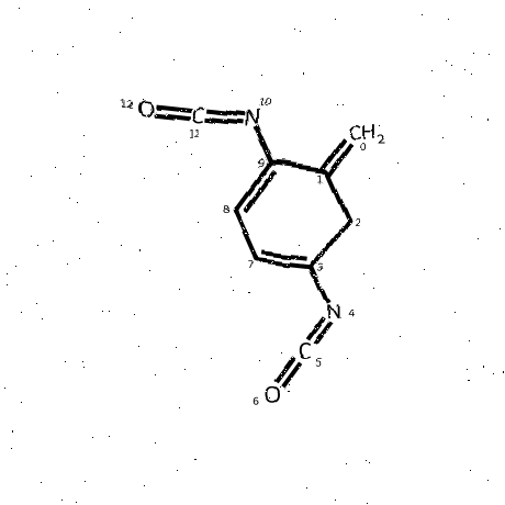 C=C1CC(N=C=O)=CC=C1N=C=O